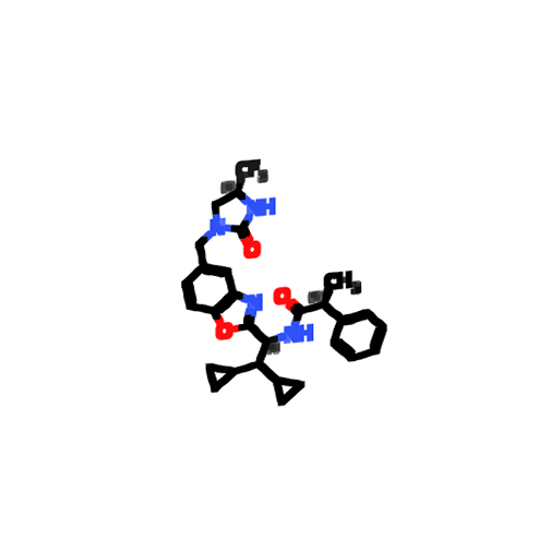 C[C@H](C(=O)N[C@H](c1nc2cc(CN3C[C@@H](C(F)(F)F)NC3=O)ccc2o1)C(C1CC1)C1CC1)c1ccccc1